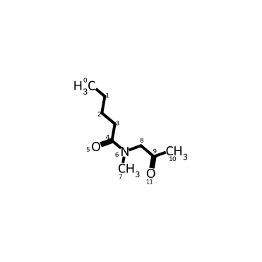 CCCCC(=O)N(C)CC(C)=O